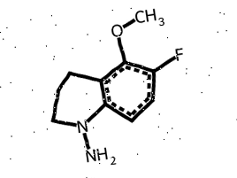 COc1c(F)ccc2c1CCCN2N